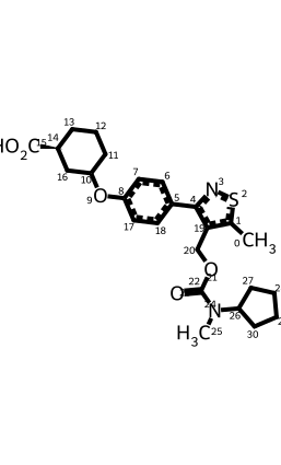 Cc1snc(-c2ccc(OC3CCC[C@H](C(=O)O)C3)cc2)c1COC(=O)N(C)C1CCCC1